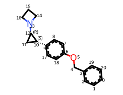 c1ccc(COc2ccc([C@@H]3C[C@H]3N3CCC3)cc2)cc1